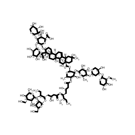 CC[C@H](C)[C@H](C[C@H](O)CC(=O)O[C@@H]1[C@H](O)[C@@H](O[C@@H]2O[C@@H](C)[C@H](O[C@H]3C[C@@H](OC4OC[C@@H](O)[C@H](O)[C@H]4OC)[C@H](O)CO3)[C@@H](O)[C@H]2O)[C@H](OC(=O)[C@]23CCC(C)(C)C[C@H]2C2=CC[C@@H]4[C@@]5(C)CC[C@H](O[C@@H]6O[C@H](C(=O)O)[C@@H](O)[C@H](O[C@@H]7OC[C@@H](O)[C@H](O)C7(O)O)[C@H]6O[C@@H]6O[C@H](CO)[C@H](O)[C@H](O)[C@H]6O)[C@@](C)(C=O)[C@@H]5CC[C@@]4(C)[C@]2(C)C[C@H]3O)O[C@@H]1C)OC(=O)C[C@@H](O)C[C@H](O[C@@H]1O[C@@H](CO)[C@H](O)[C@H]1OC1O[C@@H](C)[C@H](O)[C@@H](CO)[C@H]1O)[C@@H](C)CC